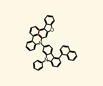 c1ccc(-c2ccccc2N(c2ccc3c(c2)oc2ccccc23)c2ccc3c4c(-c5cccc6ccccc56)cccc4n(-c4ccccc4)c3c2)cc1